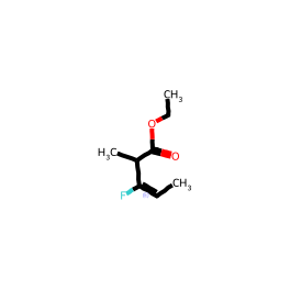 C/C=C(/F)C(C)C(=O)OCC